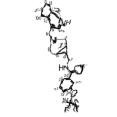 O=C(NCC1C2CN(Cc3c[nH]c4ccccc34)CC12)c1cccc(OC(F)(F)F)c1